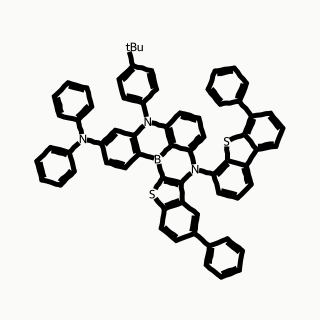 CC(C)(C)c1ccc(N2c3cc(N(c4ccccc4)c4ccccc4)ccc3B3c4sc5ccc(-c6ccccc6)cc5c4N(c4cccc5c4sc4c(-c6ccccc6)cccc45)c4cccc2c43)cc1